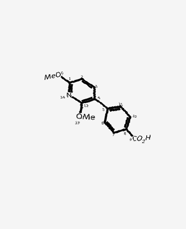 COc1ccc(-c2ccc(C(=O)O)cc2)c(OC)n1